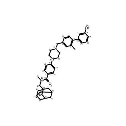 Cc1cc(CN2CCN(c3ccc(C(=O)N(C)CC45CC6CC(CC(C6)C4)C5)cc3)CC2)ccc1-c1cccc(O)c1